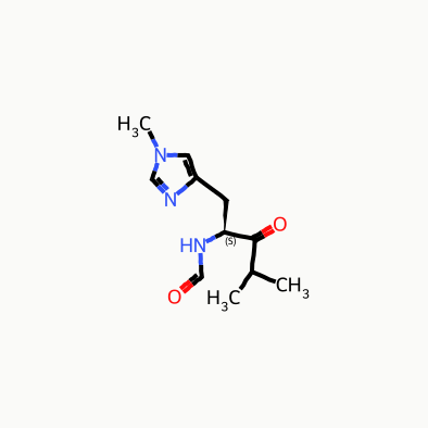 CC(C)C(=O)[C@H](Cc1cn(C)cn1)NC=O